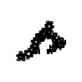 CC(C)CN[C@H]1CO[C@@H]2OC[C@H](OC(=O)N[C@@H](Cc3ccccc3)[C@H](O)CN(CC(C)C)S(=O)(=O)c3ccc4nc(NC5CCC(N6CCCC6)CC5)sc4c3)[C@@H]21